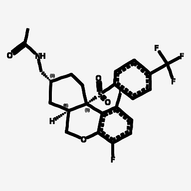 CC(=O)NC[C@@H]1CC[C@@]2(S(=O)(=O)c3ccc(C(F)(F)F)cc3)c3c(F)ccc(F)c3OC[C@H]2C1